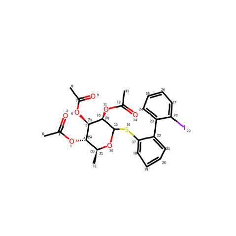 CC(=O)O[C@@H]1[C@@H](OC(C)=O)[C@@H](OC(C)=O)C(Sc2ccccc2-c2ccccc2I)O[C@H]1C